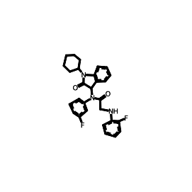 O=C1C(N(C(=O)CNc2ccccc2F)c2cccc(F)c2)c2ccccc2N1C1CCCCC1